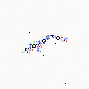 CC1=C(Cl)C=CC(NC(=O)c2ccc(-c3nn4c(c3C(N)=O)Nc3ccc(N5CCN(CC6CN(c7ccc(N8CCC(=O)NC8=O)cc7)C6)CC5)cc3CC4)c(F)c2C)N1